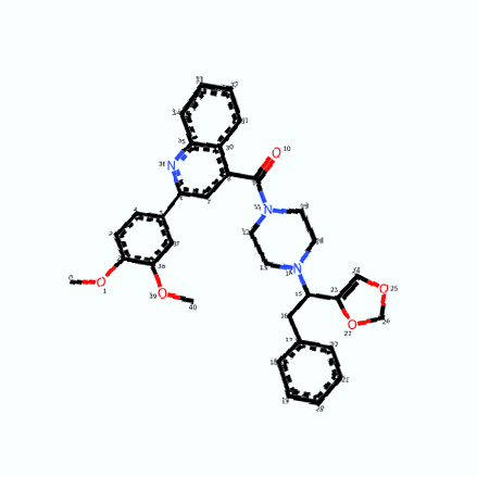 COc1ccc(-c2cc(C(=O)N3CCN(C(Cc4ccccc4)C4=COCO4)CC3)c3ccccc3n2)cc1OC